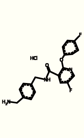 Cl.NCc1ccc(CNC(=O)c2cc(F)cnc2Oc2ccc(F)cc2)cc1